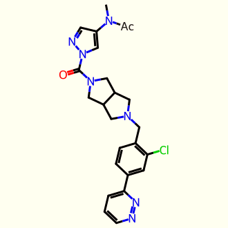 CC(=O)N(C)c1cnn(C(=O)N2CC3CN(Cc4ccc(-c5cccnn5)cc4Cl)CC3C2)c1